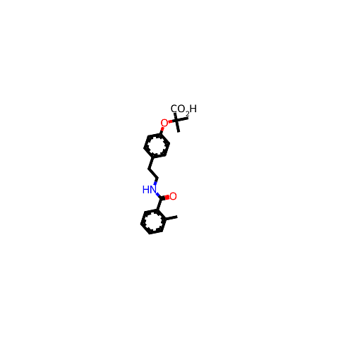 Cc1ccccc1C(=O)NCCc1ccc(OC(C)(C)C(=O)O)cc1